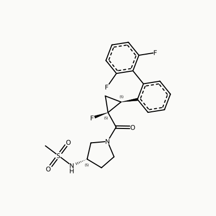 CS(=O)(=O)N[C@H]1CCN(C(=O)[C@]2(F)C[C@H]2c2ccccc2-c2c(F)cccc2F)C1